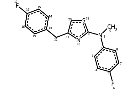 CN(c1ccc(F)cc1)c1nc([CH]c2ccc(F)cc2)cs1